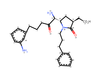 Nc1cccc(CCCC(=O)C(N)[C@@H]2C[C@@H](CC(=O)O)C(=O)N2CCCc2ccccc2)c1